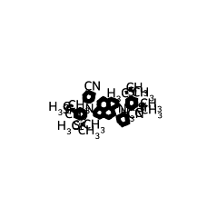 C[Si](C)(C)c1cc(N(c2ccc(C#N)cc2)c2ccc3ccc4c(N(c5cc([Si](C)(C)C)cc([Si](C)(C)C)c5)c5ccccc5C#N)ccc5ccc2c3c54)cc([Si](C)(C)C)c1